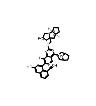 C#Cc1cccc2cc(O)cc(-c3ncc4c(N5CC6CCC(C5)N6)nc(OCC56C[C@@H](F)CN5[C@H]5CCC[C@H]5C6)nc4c3F)c12